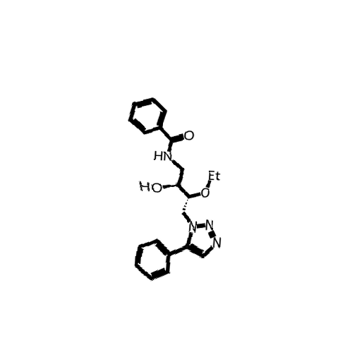 CCO[C@H](Cn1nncc1-c1ccccc1)[C@@H](O)CNC(=O)c1ccccc1